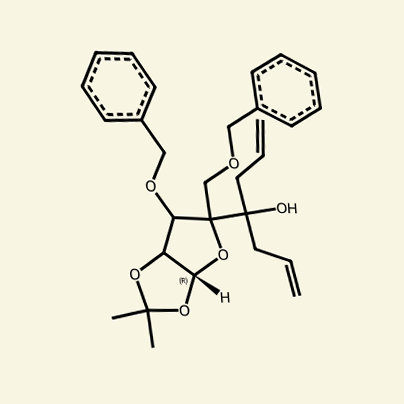 C=CCC(O)(CC=C)C1(COCc2ccccc2)O[C@@H]2OC(C)(C)OC2C1OCc1ccccc1